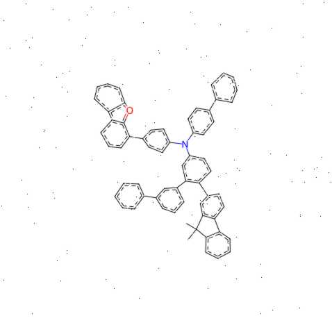 CC1(C)c2ccccc2-c2ccc(-c3ccc(N(c4ccc(-c5ccccc5)cc4)c4ccc(-c5cccc6c5oc5ccccc56)cc4)cc3-c3cccc(-c4ccccc4)c3)cc21